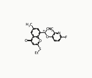 CCSc1cc(=O)c2cc(C)cc([C@@H](C)Oc3ccc(F)nc3C#N)c2o1